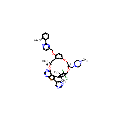 COc1ccccc1-c1nccc(COc2ccc3cc2C[C@H](C(=O)O)Oc2ncnc4sc(-c5cncnc5)c(c24)-c2c(C)c(Cl)c(c(Cl)c2C)O[C@H](CN2CCN(C)CC2)CO3)n1